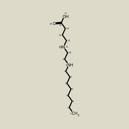 CCCCCCCCNCCNCCCC(=O)O